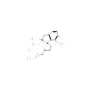 COc1c(F)ccc2c1C1(CCC(CN(C)C)O1)C(C)(C)C2